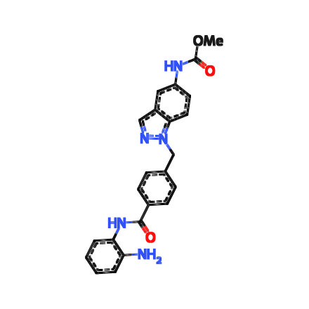 COC(=O)Nc1ccc2c(cnn2Cc2ccc(C(=O)Nc3ccccc3N)cc2)c1